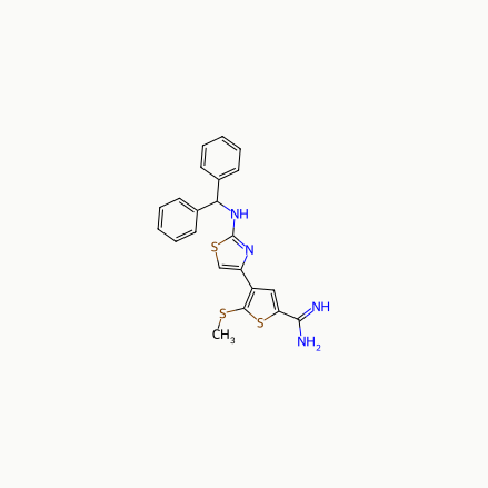 CSc1sc(C(=N)N)cc1-c1csc(NC(c2ccccc2)c2ccccc2)n1